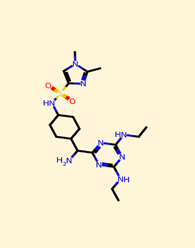 CCNc1nc(NCC)nc(C(N)C2CCC(NS(=O)(=O)c3cn(C)c(C)n3)CC2)n1